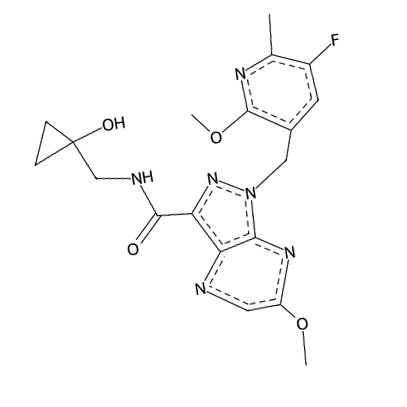 COc1cnc2c(C(=O)NCC3(O)CC3)nn(Cc3cc(F)c(C)nc3OC)c2n1